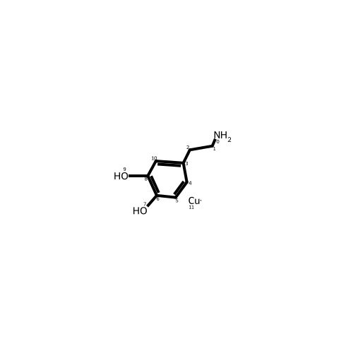 NCCc1ccc(O)c(O)c1.[Cu]